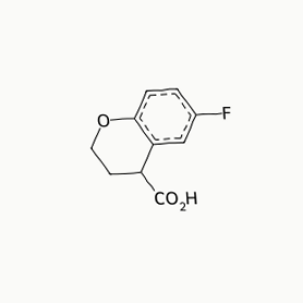 O=C(O)C1CCOc2ccc(F)cc21